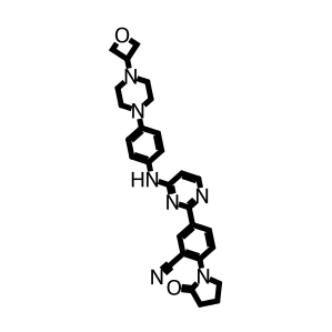 N#Cc1cc(-c2nccc(Nc3ccc(N4CCN(C5COC5)CC4)cc3)n2)ccc1N1CCCC1=O